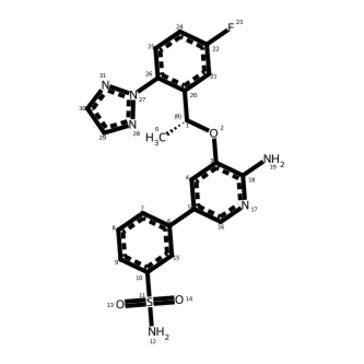 C[C@@H](Oc1cc(-c2cccc(S(N)(=O)=O)c2)cnc1N)c1cc(F)ccc1-n1nccn1